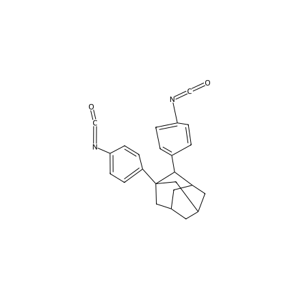 O=C=Nc1ccc(C2C3CC4CC(C3)CC2(c2ccc(N=C=O)cc2)C4)cc1